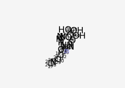 COC1OC(Cn2cc(CNC(=O)/C(C#N)=C\c3ccc4cc(N5CCCCC5)ccc4c3)nn2)C(O)C(O)C1O